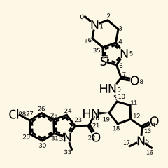 CN1CCc2nc(C(=O)N[C@@H]3CC(C(=O)N(C)C)C[C@H]3NC(=O)c3cc4cc(Cl)ccc4n3C)sc2C1